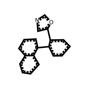 c1ccc(-c2cccc3ccccc23)c(-c2cnco2)c1